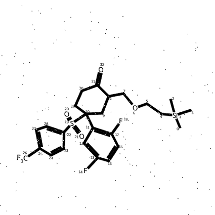 C[Si](C)(C)CCOCC1CC(c2cc(F)ccc2F)(S(=O)(=O)c2ccc(C(F)(F)F)cc2)CCC1=O